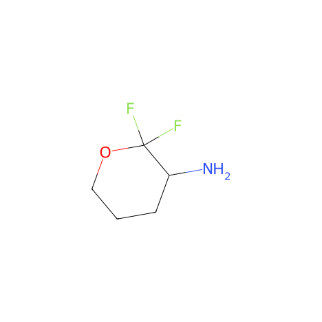 NC1CCCOC1(F)F